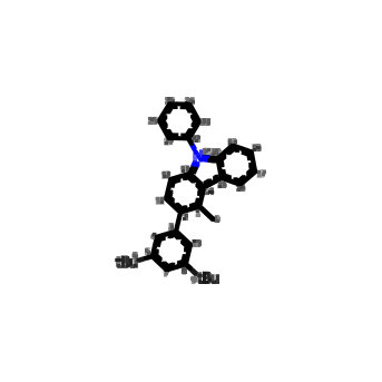 Cc1c(-c2cc(C(C)(C)C)cc(C(C)(C)C)c2)ccc2c1c1ccccc1n2-c1ccccc1